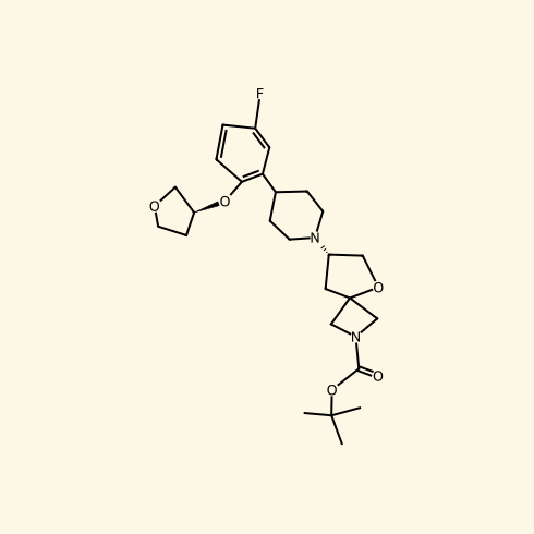 CC(C)(C)OC(=O)N1CC2(C[C@H](N3CCC(c4cc(F)ccc4O[C@H]4CCOC4)CC3)CO2)C1